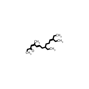 CCC(=O)C=C(C)C=CCC(CC)CCC=C(CC)CC